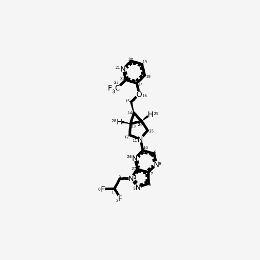 FC(F)Cn1ncc2ncc(N3C[C@@H]4[C@@H](COc5cccnc5C(F)(F)F)[C@@H]4C3)nc21